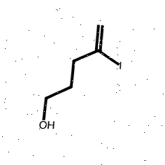 C=C(I)CCCO